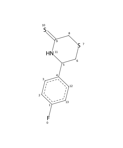 Fc1ccc(C2CSCC(=S)N2)cc1